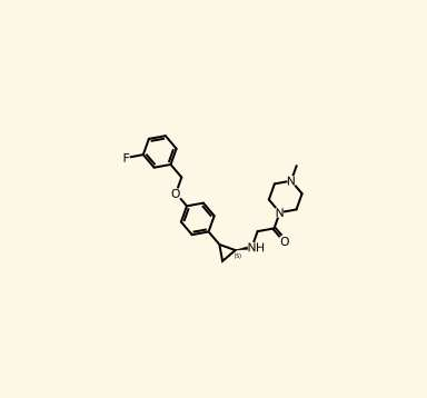 CN1CCN(C(=O)CN[C@H]2CC2c2ccc(OCc3cccc(F)c3)cc2)CC1